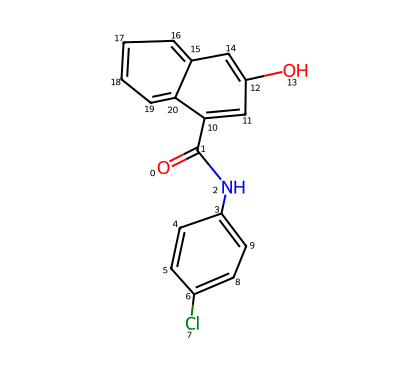 O=C(Nc1ccc(Cl)cc1)c1cc(O)cc2ccccc12